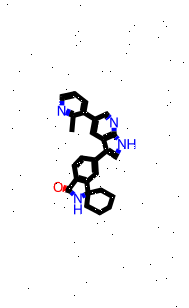 Cc1ncccc1-c1cnc2[nH]cc(-c3ccc4c(c3)C3(CCCCC3)NC4=O)c2c1